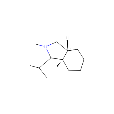 CC(C)C1[C@H]2CCCC[C@H]2CN1C